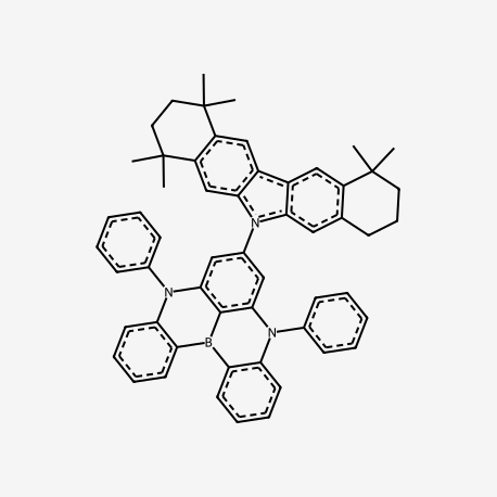 CC1(C)CCCc2cc3c(cc21)c1cc2c(cc1n3-c1cc3c4c(c1)N(c1ccccc1)c1ccccc1B4c1ccccc1N3c1ccccc1)C(C)(C)CCC2(C)C